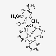 Cc1cc(C)c(C(=O)[PH](=O)c2cccc(-c3ccccc3)c2-c2ccccc2)c(C)c1